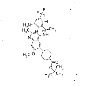 COc1cc2nc(C)nc(N[C@H](C)c3cc(N)cc(C(F)(F)F)c3F)c2cc1C1CCN(C(=O)OC(C)(C)C)CC1